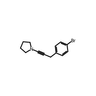 Brc1ccc(CC#CN2CCCC2)cc1